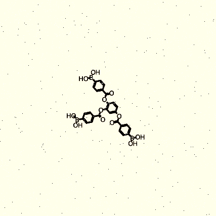 O=C(Oc1ccc(OC(=O)c2ccc(B(O)O)cc2)c(OC(=O)c2ccc(B(O)O)cc2)c1)c1ccc(B(O)O)cc1